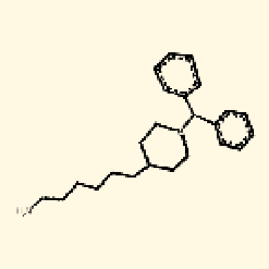 NCCCCCCC1CCN(C(c2ccccc2)c2ccccc2)CC1